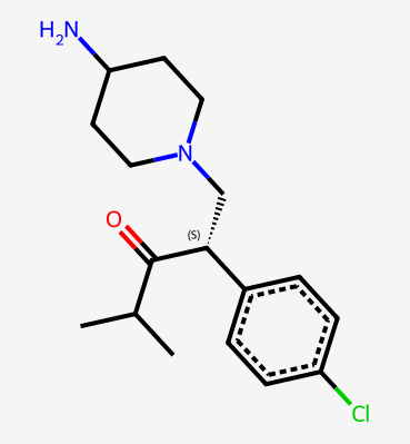 CC(C)C(=O)[C@H](CN1CCC(N)CC1)c1ccc(Cl)cc1